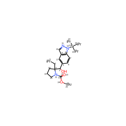 CC(C)CC1(C(O)c2ccc3c(cnn3[Si](C(C)C)(C(C)C)C(C)C)c2)CCCN1C(=O)OC(C)(C)C